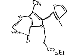 CCOC(=O)CCn1c(-c2occc2C)c(C#N)c2nc[nH]c(=O)c21